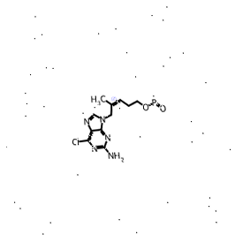 C/C(=C/CCOP=O)Cn1cnc2c(Cl)nc(N)nc21